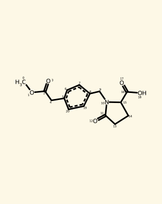 COC(=O)Cc1ccc(CN2C(=O)CCC2C(=O)O)cc1